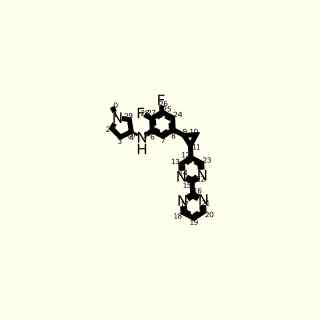 CN1CC[C@H](Nc2cc(C3CC3c3cnc(-c4ncccn4)nc3)cc(F)c2F)C1